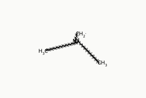 [CH2]CCCc1nc(CCCCCCCCCCCCCCCCCCC)cc(CCCCCCCCCCCCCCCCCCC)n1